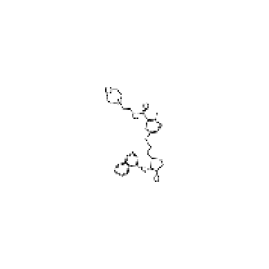 Cc1ccc(CCC[C@H]2CCC(=O)[C@@H]2Sc2cccc3ccccc23)cc1C(=O)OCCN1CCOCC1